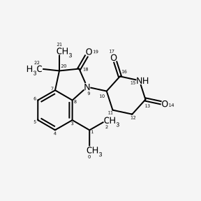 CC(C)c1cccc2c1N(C1CCC(=O)NC1=O)C(=O)C2(C)C